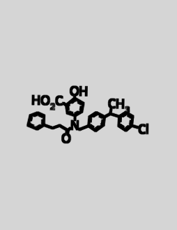 CC(c1ccc(Cl)cc1)c1ccc(CN(C(=O)CCc2ccccc2)c2ccc(O)c(C(=O)O)c2)cc1